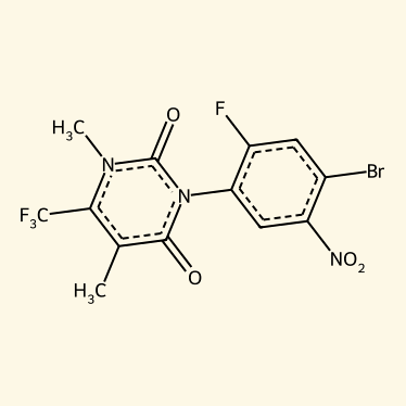 Cc1c(C(F)(F)F)n(C)c(=O)n(-c2cc([N+](=O)[O-])c(Br)cc2F)c1=O